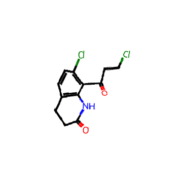 O=C1CCc2ccc(Cl)c(C(=O)CCCl)c2N1